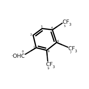 O=[C]c1ccc(C(F)(F)F)c(C(F)(F)F)c1C(F)(F)F